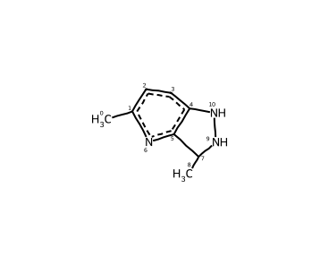 Cc1ccc2c(n1)C(C)NN2